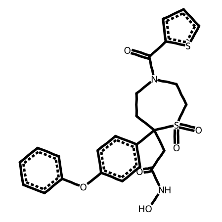 O=C(CC1(c2ccc(Oc3ccccc3)cc2)CCN(C(=O)c2cccs2)CCS1(=O)=O)NO